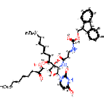 CCCCCCCCCCCCCCCC(=O)C(O)[C@H]1O[C@@H](n2ccc(=O)[nH]c2=O)[C@H](NC(=O)CCNC(=O)OCC2c3ccccc3-c3ccccc32)[C@@]1(O)C(=O)CCCCCCCCCCCCCCC